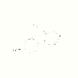 C[C@@H]1CN([C@H]2CC[C@H](O)CC2)C(=O)CN1.Cl